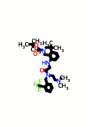 CN(C)CCN(Cc1ccccc1C(F)(F)F)C(=O)CNc1cccc2c1CN(C(=O)OC(C)(C)C)CC2(C)C